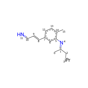 C/C(CC(C)C)=N\c1cc(/C=C/C=N)ccc1C